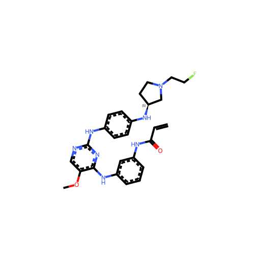 C=CC(=O)Nc1cccc(Nc2nc(Nc3ccc(N[C@H]4CCN(CCF)C4)cc3)ncc2OC)c1